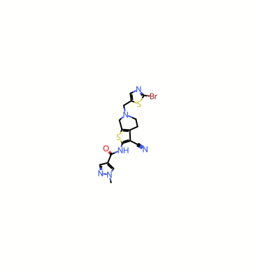 Cn1cc(C(=O)Nc2sc3c(c2C#N)CCN(Cc2cnc(Br)s2)C3)cn1